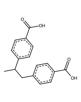 CC(Cc1ccc(C(=O)O)cc1)c1ccc(C(=O)O)cc1